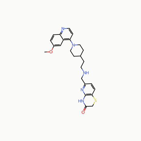 COc1ccc2nccc(N3CCC(CCNCc4ccc5c(n4)NC(=O)CS5)CC3)c2c1